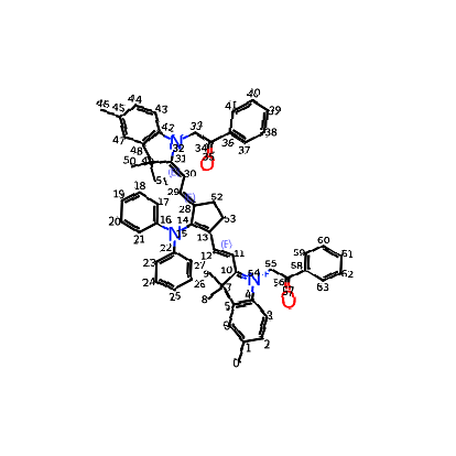 Cc1ccc2c(c1)C(C)(C)C(/C=C/C1=C(N(c3ccccc3)c3ccccc3)C(=C/C=C3/N(CC(=O)c4ccccc4)c4ccc(C)cc4C3(C)C)/CC1)=[N+]2CC(=O)c1ccccc1